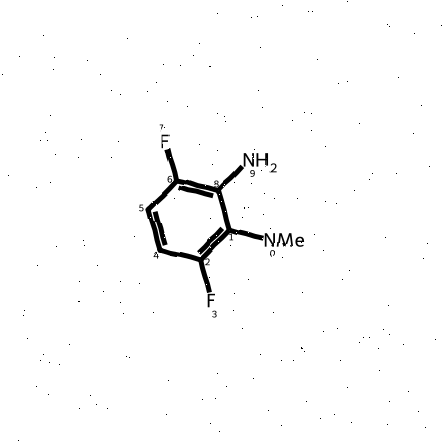 CNc1c(F)ccc(F)c1N